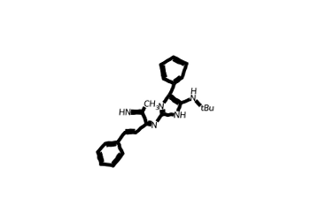 CC(=N)C(/C=C/c1ccccc1)=N\c1nc(-c2ccccc2)c(NC(C)(C)C)[nH]1